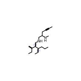 C=C(CC)C(=C/NCC(CC#CC)NC)/C(=C\C)CCC